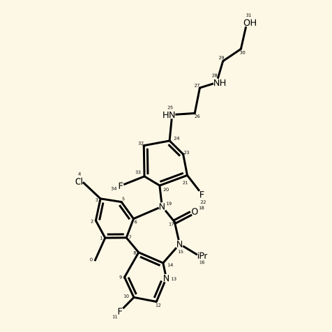 Cc1cc(Cl)cc2c1-c1cc(F)cnc1N(C(C)C)C(=O)N2c1c(F)cc(NCCNCCO)cc1F